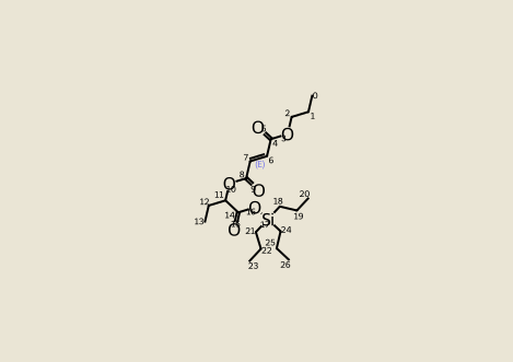 CCCOC(=O)/C=C/C(=O)OC(CC)C(=O)O[Si](CCC)(CCC)CCC